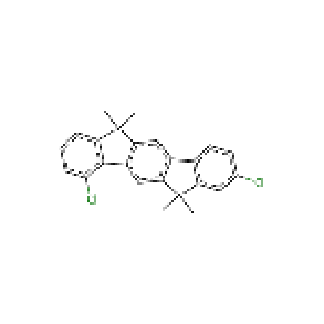 CC1(C)c2cc(Cl)ccc2-c2cc3c(cc21)-c1c(Cl)cccc1C3(C)C